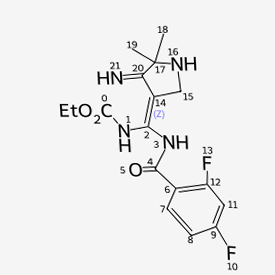 CCOC(=O)N/C(NC(=O)c1ccc(F)cc1F)=C1/CNC(C)(C)C1=N